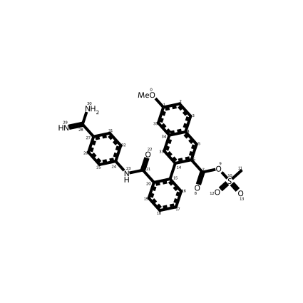 COc1ccc2cc(C(=O)OS(C)(=O)=O)c(-c3ccccc3C(=O)Nc3ccc(C(=N)N)cc3)cc2c1